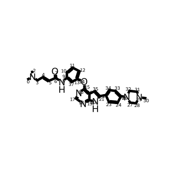 CN(C)CC=CC(=O)Nc1cccc(Oc2ncnc3[nH]c(-c4ccc(N5CCN(C)CC5)cc4)cc23)c1